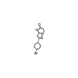 Cn1c(=O)ccn2nc(-c3ccc(Br)cc3)cc12